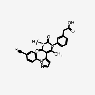 Cc1c(-c2ccnn2-c2ccc(C#N)cc2)c(=O)n(C)c(=O)n1-c1cccc(CC(=O)O)c1